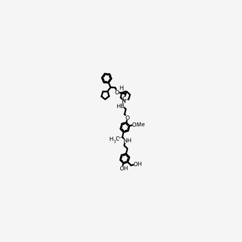 COc1cc([C@@H](C)NCCc2ccc(O)c(CO)c2)ccc1OCCB[N+]12CCC(CC1)[C@H](OCC(c1ccccc1)C1CCCC1)C2